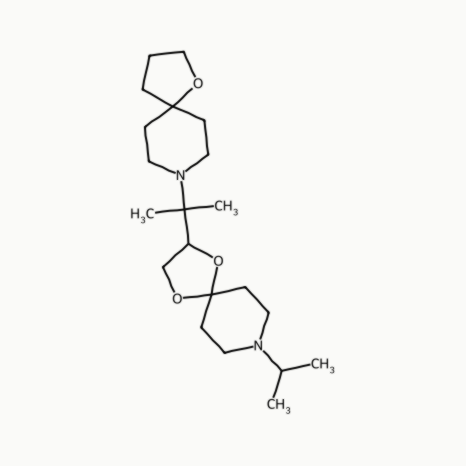 CC(C)N1CCC2(CC1)OCC(C(C)(C)N1CCC3(CCCO3)CC1)O2